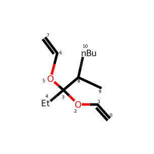 C=COC(CC)(OC=C)C(C)CCCC